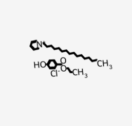 CCCCCCCCCCCCCCCC[n+]1ccccc1.CCCOC(=O)c1ccc(O)cc1.[Cl-]